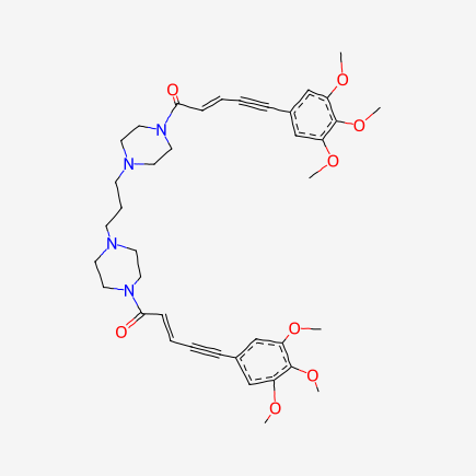 COc1cc(C#CC=CC(=O)N2CCN(CCCN3CCN(C(=O)C=CC#Cc4cc(OC)c(OC)c(OC)c4)CC3)CC2)cc(OC)c1OC